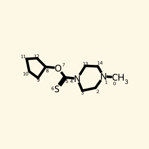 CN1CCN(C(=S)OC2CCCC2)CC1